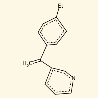 C=C(c1ccc(CC)cc1)c1cccnc1